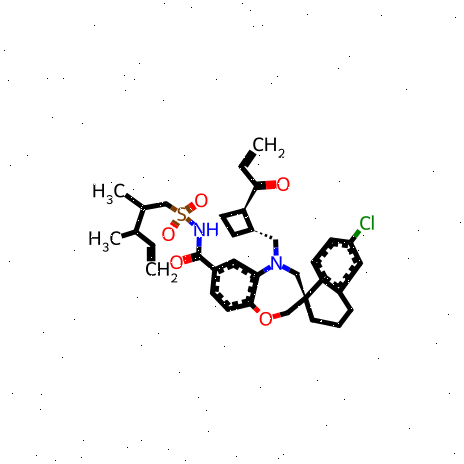 C=CC(=O)[C@@H]1CC[C@H]1CN1C[C@@]2(CCCc3cc(Cl)ccc32)COc2ccc(C(=O)NS(=O)(=O)CC(C)C(C)C=C)cc21